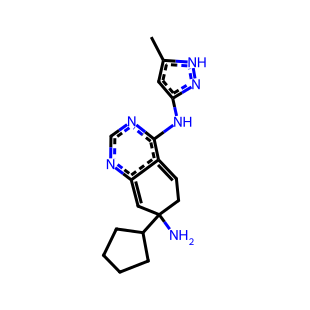 Cc1cc(Nc2ncnc3c2=CCC(N)(C2CCCC2)C=3)n[nH]1